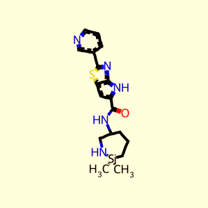 C[Si]1(C)CCCC(NC(=O)c2cc3sc(-c4cccnc4)nc3[nH]2)CN1